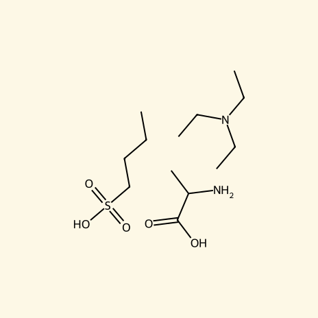 CC(N)C(=O)O.CCCCS(=O)(=O)O.CCN(CC)CC